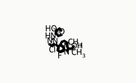 C[C@@H](O)c1nc2c(F)cc(-c3nc(N[C@@H]4CCOC[C@H]4O)ncc3Cl)c3c2n1[C@@H](C)CC3